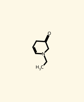 CCN1C=CCC(=O)C1